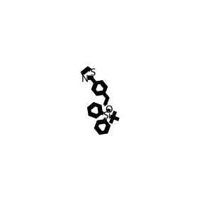 CC(C)(C)[Si](OCCc1ccc(-c2nccs2)cc1)(c1ccccc1)c1ccccc1